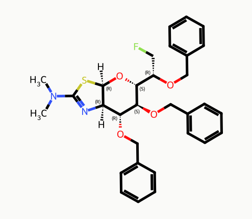 CN(C)C1=N[C@@H]2[C@@H](OCc3ccccc3)[C@H](OCc3ccccc3)[C@@H]([C@H](CF)OCc3ccccc3)O[C@@H]2S1